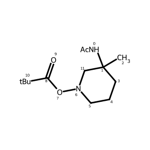 CC(=O)NC1(C)CCCN(OC(=O)C(C)(C)C)C1